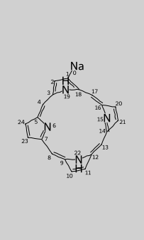 [Na][c]1cc2cc3nc(cc4ccc(cc5nc(cc1[nH]2)C=C5)[nH]4)C=C3